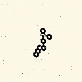 C1=Cc2c(nc(-c3ccc(-c4cccc5c4ccc4cc6ccccc6cc45)cc3)n2-c2ccccc2)CC1